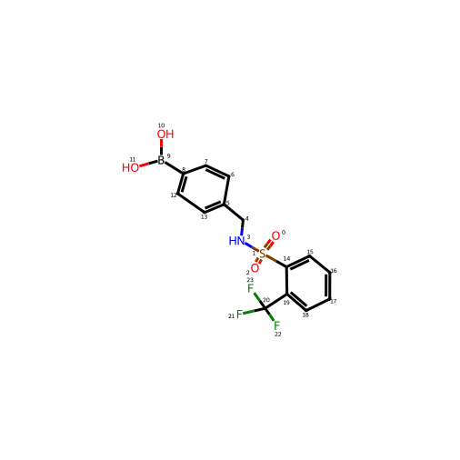 O=S(=O)(NCc1ccc(B(O)O)cc1)c1ccccc1C(F)(F)F